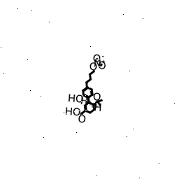 CC1(C)Oc2cc(CCCCO[N+](=O)[O-])cc(O)c2[C@@H]2C=C(C(=O)O)CC[C@H]21